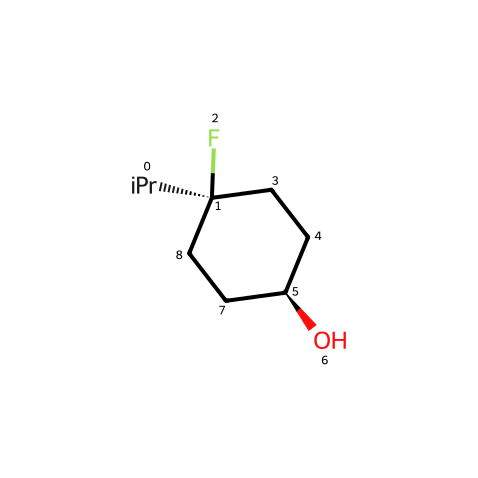 CC(C)[C@]1(F)CC[C@@H](O)CC1